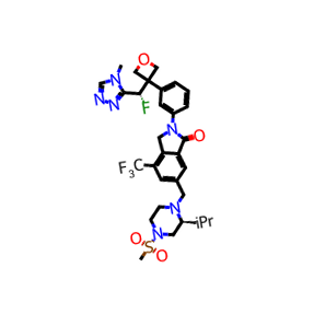 CC(C)[C@H]1CN(S(C)(=O)=O)CCN1Cc1cc2c(c(C(F)(F)F)c1)CN(c1cccc(C3([C@H](F)c4nncn4C)COC3)c1)C2=O